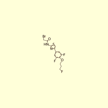 O=C(CBr)Nc1nc(-c2cc(F)c(OCCCF)c(F)c2)cs1